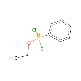 CCO[PH](Cl)(Cl)c1ccccc1